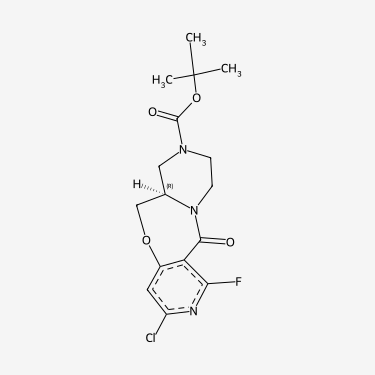 CC(C)(C)OC(=O)N1CCN2C(=O)c3c(cc(Cl)nc3F)OC[C@H]2C1